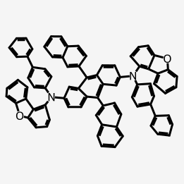 c1ccc(-c2ccc(N(c3ccc4c(-c5ccc6ccccc6c5)c5cc(N(c6ccc(-c7ccccc7)cc6)c6cccc7oc8ccccc8c67)ccc5c(-c5ccc6ccccc6c5)c4c3)c3cccc4oc5ccccc5c34)cc2)cc1